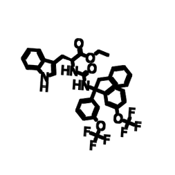 CCOC(=O)[C@H](Cc1c[nH]c2ccccc12)NC(=O)NC(Cc1ccccc1)(c1cccc(OC(F)(F)F)c1)c1cccc(OC(F)(F)F)c1